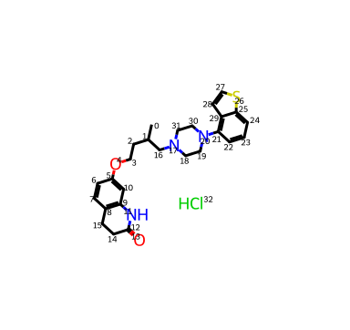 CC(CCOc1ccc2c(c1)NC(=O)CC2)CN1CCN(c2cccc3sccc23)CC1.Cl